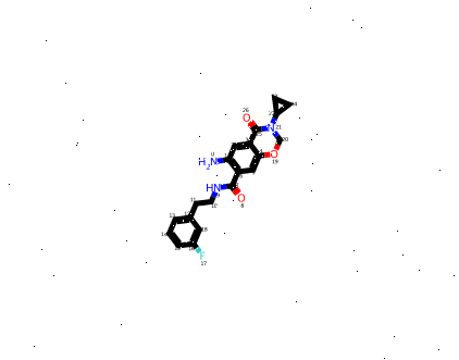 Nc1cc2c(cc1C(=O)NCCc1cccc(F)c1)OCN(C1CC1)C2=O